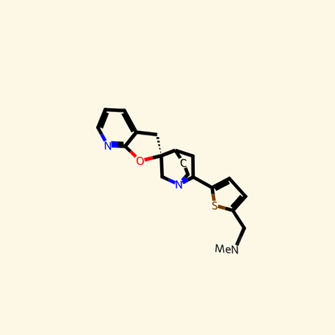 CNCc1ccc(C2CC3CCN2C[C@]32Cc3cccnc3O2)s1